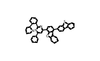 c1ccc(-c2cc(-c3ccc(-c4ccc5c(c4)sc4ccccc45)c4c3oc3ccccc34)nc(-c3ccccc3-c3ccccn3)n2)cc1